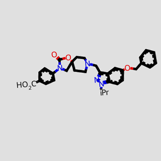 CC(C)n1nc(CN2CCC3(CC2)CN(c2ccc(C(=O)O)cc2)C(=O)O3)c2cc(OCc3ccccc3)ccc21